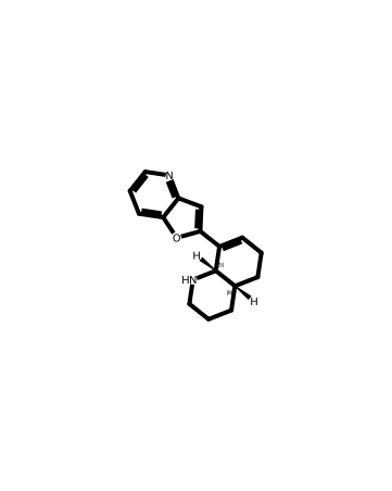 C1=C(c2cc3ncccc3o2)[C@H]2NCCC[C@H]2CC1